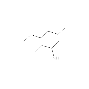 CCC(C)N.CCCCCC